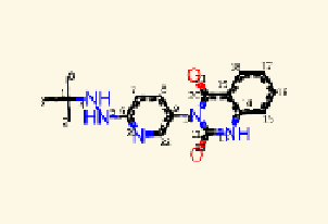 CC(C)(C)NNc1ccc(-n2c(=O)[nH]c3ccccc3c2=O)cn1